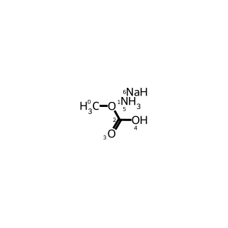 COC(=O)O.N.[NaH]